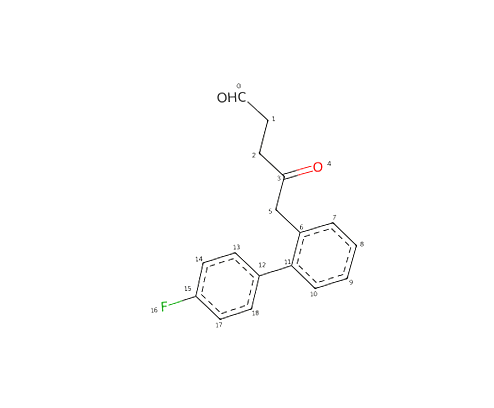 O=CCCC(=O)Cc1ccccc1-c1ccc(F)cc1